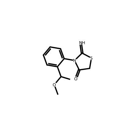 COC(C)c1ccccc1N1C(=N)SCC1=O